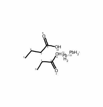 CCC(=O)O.CCCC(=O)O.[PbH2].[PbH2]